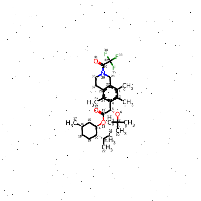 Cc1c(C)c([C@H](OC(C)(C)C)C(=O)O[C@@H]2C[C@H](C)CC[C@H]2C(C)C)c(C)c2c1CN(C(=O)C(F)(F)F)CC2